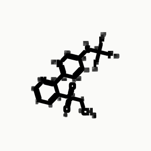 CCS(=O)(=O)c1cccnc1-c1ccc(SC(F)(F)F)cn1